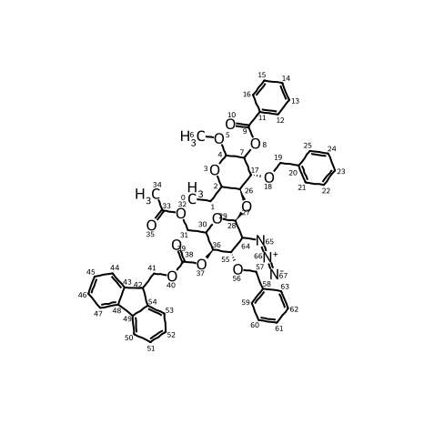 CCC1OC(OC)C(OC(=O)c2ccccc2)[C@H](OCc2ccccc2)[C@H]1O[C@@H]1OC(COC(C)=O)[C@H](OC(=O)OCC2c3ccccc3-c3ccccc32)[C@@H](OCc2ccccc2)C1N=[N+]=[N-]